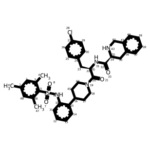 Cc1cc(C)c(S(=O)(=O)Nc2ccccc2C2CCN(C(=O)[C@@H](Cc3ccc(Cl)cc3)NC(=O)[C@@H]3Cc4ccccc4CN3)CC2)c(C)c1